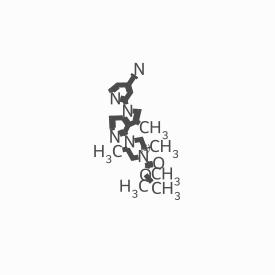 Cc1cn(-c2cc(C#N)ccn2)c2ccnc(N3C[C@H](C)N(C(=O)OC(C)(C)C)CC3C)c12